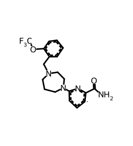 NC(=O)c1[c]ccc(N2CCCN(Cc3ccccc3OC(F)(F)F)CC2)n1